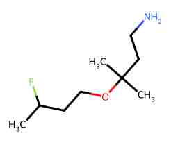 CC(F)CCOC(C)(C)CCN